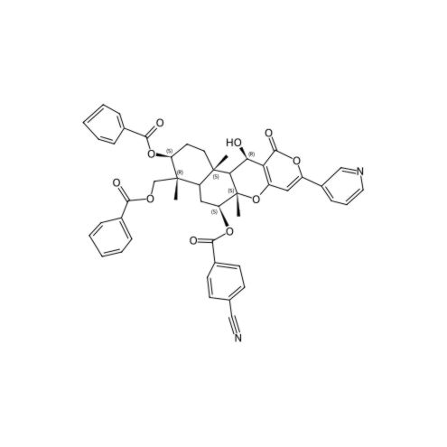 C[C@]12CC[C@H](OC(=O)c3ccccc3)[C@@](C)(COC(=O)c3ccccc3)C1C[C@H](OC(=O)c1ccc(C#N)cc1)[C@@]1(C)Oc3cc(-c4cccnc4)oc(=O)c3[C@H](O)C21